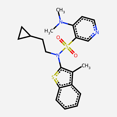 Cc1c(N(CCC2CC2)S(=O)(=O)c2cnccc2N(C)C)sc2ccccc12